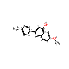 COc1ccc2cc(-c3ccc(C)cc3)cc(O)c2c1